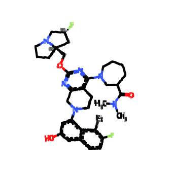 CCc1c(F)ccc2cc(O)cc(N3CCc4c(nc(OC[C@@]56CCCN5C[C@H](F)C6)nc4N4CCCCC(C(=O)N(C)C)C4)C3)c12